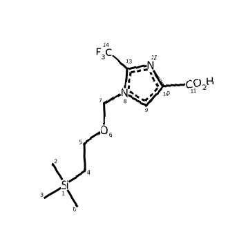 C[Si](C)(C)CCOCn1cc(C(=O)O)nc1C(F)(F)F